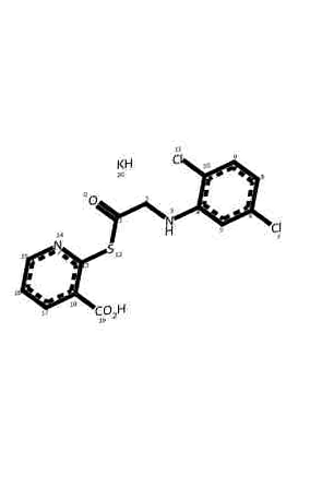 O=C(CNc1cc(Cl)ccc1Cl)Sc1ncccc1C(=O)O.[KH]